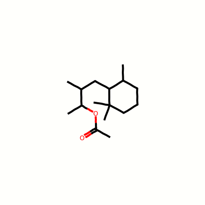 CC(=O)OC(C)C(C)CC1C(C)CCCC1(C)C